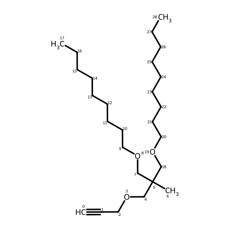 C#CCOCC(C)(COCCCCCCCCC)COCCCCCCCCC